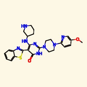 COc1ccc(N2CCN(c3nc(NC4CCCNC4)c(-c4nc5ccccc5s4)c(=O)[nH]3)CC2)nc1